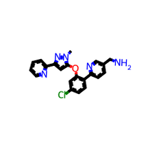 Cn1nc(-c2ccccn2)cc1Oc1cc(Cl)ccc1-c1ccc(CN)cn1